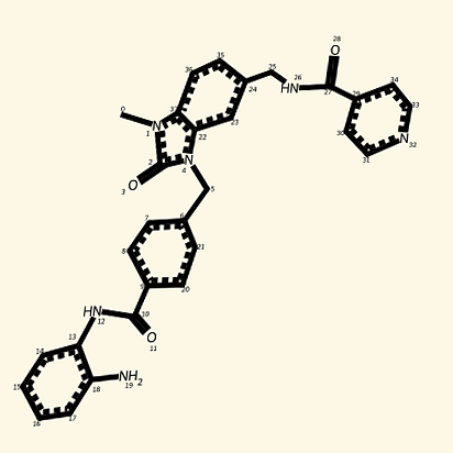 Cn1c(=O)n(Cc2ccc(C(=O)Nc3ccccc3N)cc2)c2cc(CNC(=O)c3ccncc3)ccc21